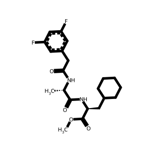 COC(=O)[C@H](CC1CCCCC1)NC(=O)[C@H](C)NC(=O)Cc1cc(F)cc(F)c1